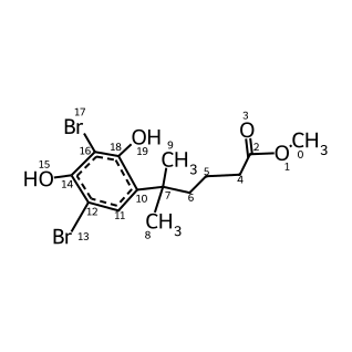 COC(=O)CCCC(C)(C)c1cc(Br)c(O)c(Br)c1O